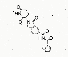 O=C1CCC(N2Cc3ccc(C(=O)NC(=O)c4ccco4)cc3C2=O)C(=O)N1